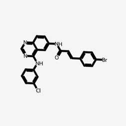 O=C(C=Cc1ccc(Br)cc1)Nc1ccc2ncnc(Nc3cccc(Cl)c3)c2c1